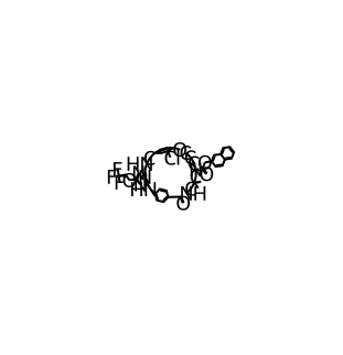 CC1(C)CNC(=O)c2ccc(cc2)Nc2nc(nc(OCC(F)(F)F)n2)NCc2ccc(c(Cl)c2)OCCCN(C(=O)Oc2ccc3ccccc3c2)C1